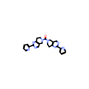 O=C(N1CCc2nc(-c3ccccn3)ncc2C1)N1CCc2nc(-c3ccccn3)ncc2C1